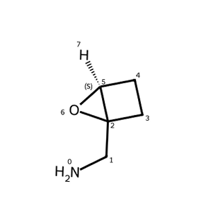 NCC12CC[C@@H]1O2